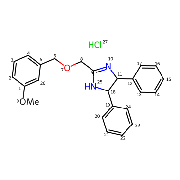 COc1cccc(COCC2=NC(c3ccccc3)C(c3ccccc3)N2)c1.Cl